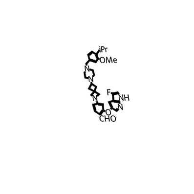 COc1cc(CN2CCN(C3CC4(C3)CN(c3ccc(C=O)c(Oc5cnc6[nH]cc(F)c6c5)c3)C4)CC2)ccc1C(C)C